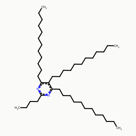 [CH2]CCCc1nc(CCCCCCCCCCCC)c(CCCCCCCCCCCC)c(CCCCCCCCCCCC)n1